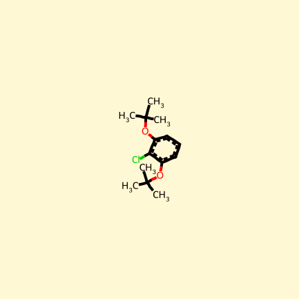 CC(C)(C)Oc1cccc(OC(C)(C)C)c1Cl